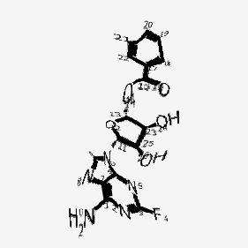 Nc1nc(F)nc2c1ncn2[C@@H]1O[C@H](OC(=O)c2ccccc2)[C@@H](O)[C@H]1O